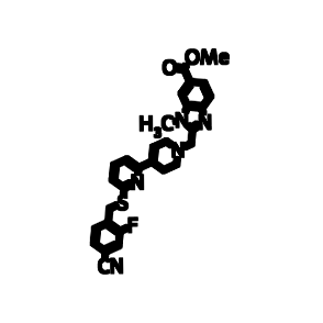 COC(=O)c1ccc2nc(CN3CC=C(c4cccc(SCc5ccc(C#N)cc5F)n4)CC3)n(C)c2c1